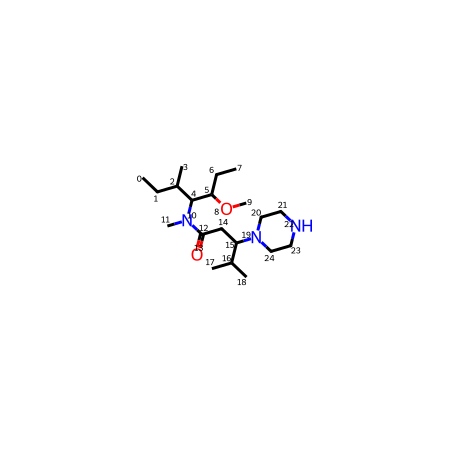 CCC(C)C(C(CC)OC)N(C)C(=O)CC(C(C)C)N1CCNCC1